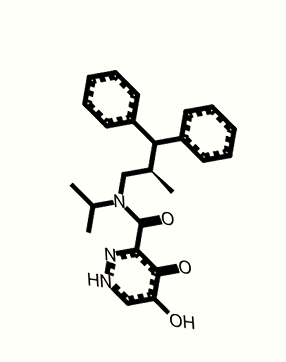 CC(C)N(C[C@H](C)C(c1ccccc1)c1ccccc1)C(=O)c1n[nH]cc(O)c1=O